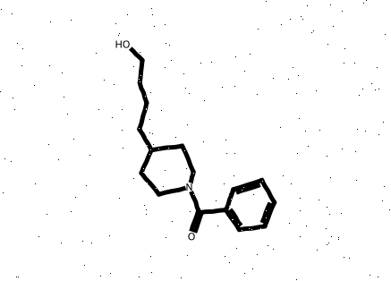 O=C(c1ccccc1)N1CCC(CCCCO)CC1